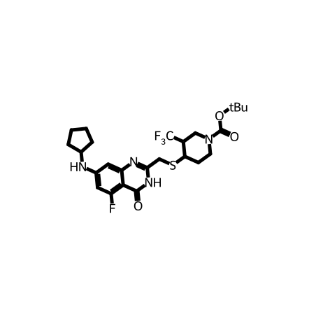 CC(C)(C)OC(=O)N1CCC(SCc2nc3cc(NC4CCCC4)cc(F)c3c(=O)[nH]2)C(C(F)(F)F)C1